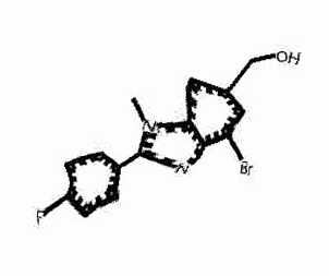 Cn1c(-c2ccc(F)cc2)nc2c(Br)cc(CO)cc21